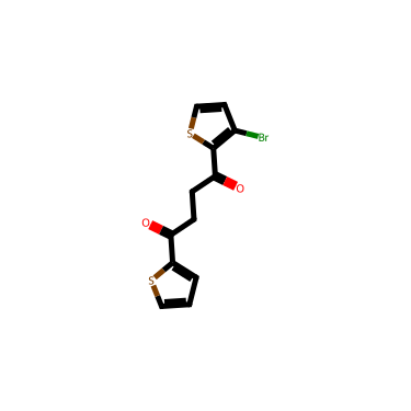 O=C(CCC(=O)c1sccc1Br)c1cccs1